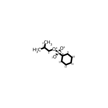 CC(C)COS(=O)(=O)C1CCCCC1